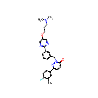 CN(C)CCCOc1cnc(-c2cccc(Cn3nc(-c4ccc(F)c(C#N)c4)ccc3=O)c2)nc1